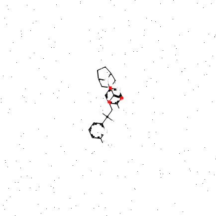 COc1cccc(C(F)(F)CCC(=O)N2CC3CCC(C2)N3c2ccc(C#N)cn2)n1